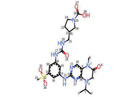 CC(C)N1CC(=O)N(C)c2cnc(Nc3cc(NC(=O)NC[C@H]4CCN(C(=O)O)C4)cc(S(C)(=O)=O)c3)nc21